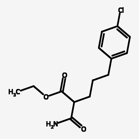 CCOC(=O)C(CCCc1ccc(Cl)cc1)C(N)=O